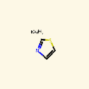 [MgH2].[c]1nccs1